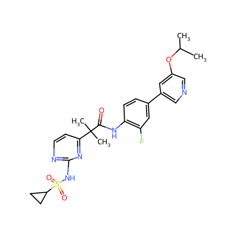 CC(C)Oc1cncc(-c2ccc(NC(=O)C(C)(C)c3ccnc(NS(=O)(=O)C4CC4)n3)c(F)c2)c1